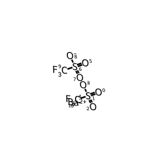 O=S(=O)([O-])C(F)(F)F.O=S(=O)([O-])C(F)(F)F.[Ba+2]